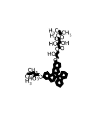 CCC(C)(C)CC(O)COc1ccc2cc(C3(c4ccc5cc(OCC(O)COC(=O)C(O)C(O)C(=O)OC(C)(C)CC)ccc5c4)c4ccccc4-c4ccccc43)ccc2c1